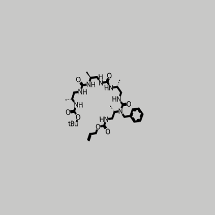 C=CCOC(=O)NC[C@H](C)N(Cc1ccccc1)C(=O)NC[C@@H](C)NC(=O)NC[C@H](C)NC(=O)NC[C@@H](C)NC(=O)OC(C)(C)C